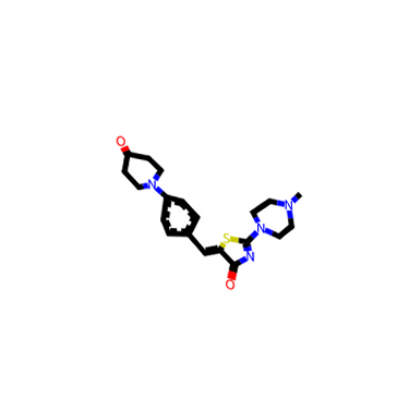 CN1CCN(C2=NC(=O)C(=Cc3ccc(N4CCC(=O)CC4)cc3)S2)CC1